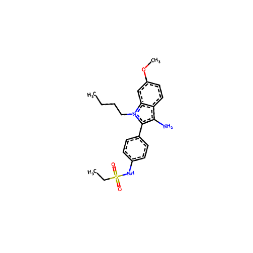 CCCCn1c(-c2ccc(NS(=O)(=O)CC)cc2)c(N)c2ccc(OC)cc21